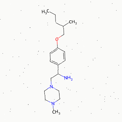 CCCC(C)COc1ccc(C(N)CN2CCN(C)CC2)cc1